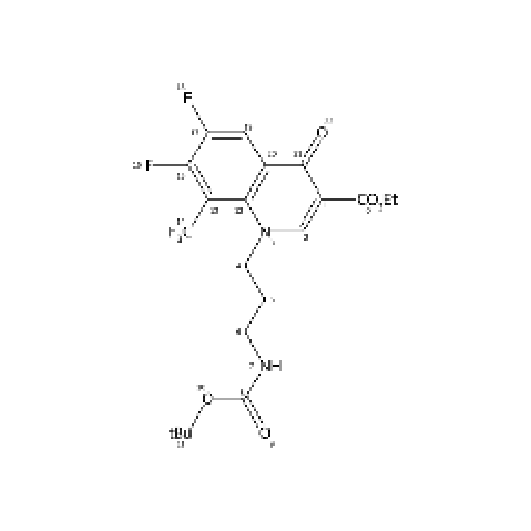 CCOC(=O)c1cn(CCCNC(=O)OC(C)(C)C)c2c(C(F)(F)F)c(F)c(F)cc2c1=O